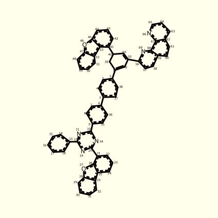 C1=C(c2ccc(-c3ccc(-c4nc(-c5ccccc5)nc(-c5cccc6c5oc5ccccc56)n4)cc3)cc2)CC(c2cccc3oc4ccccc4c23)C=C1c1ccc2ccc3cccnc3c2n1